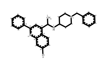 CC(NC1CCN(Cc2ccccc2)CC1)c1cc(-c2ccccc2)nc2cc(Cl)ccc12